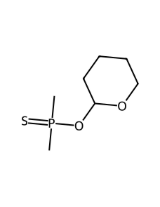 CP(C)(=S)OC1CCCCO1